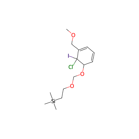 COCC1=CC=CC(OCOCC[Si](C)(C)C)C1(Cl)I